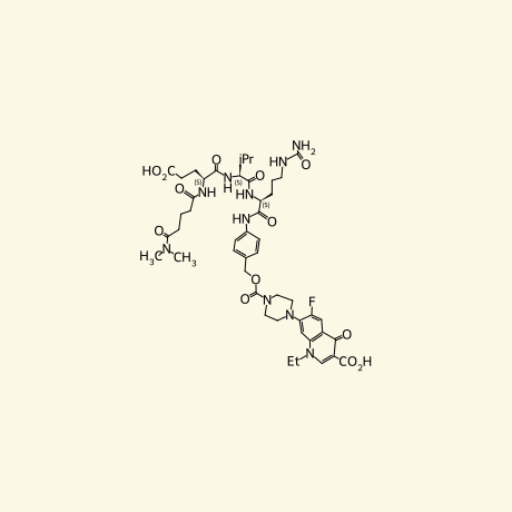 CCn1cc(C(=O)O)c(=O)c2cc(F)c(N3CCN(C(=O)OCc4ccc(NC(=O)[C@H](CCCNC(N)=O)NC(=O)[C@@H](NC(=O)[C@H](CCC(=O)O)NC(=O)CCCC(=O)N(C)C)C(C)C)cc4)CC3)cc21